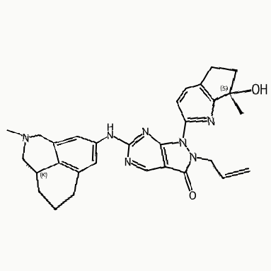 C=CCn1c(=O)c2cnc(Nc3cc4c5c(c3)CN(C)C[C@]5(C)CCC4)nc2n1-c1ccc2c(n1)[C@@](C)(O)CC2